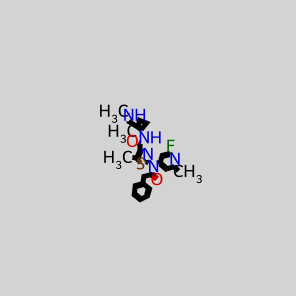 CNCC1(C)CCC1NC(=O)c1nc(N(C(=O)Cc2ccccc2)c2cc(C)nc(F)c2)sc1C